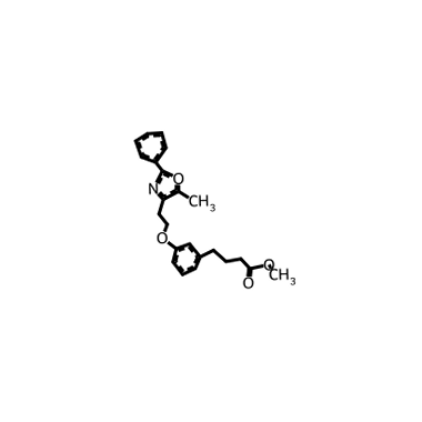 COC(=O)CCCc1cccc(OCCc2nc(-c3ccccc3)oc2C)c1